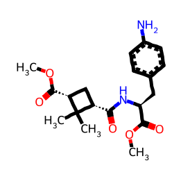 COC(=O)[C@H](Cc1ccc(N)cc1)NC(=O)[C@H]1C[C@@H](C(=O)OC)C1(C)C